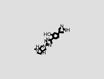 CN1CC[C@@H]2CN(c3ncc(-c4ccc(-c5cn[nH]c5)cc4O)nn3)C[C@@H]21